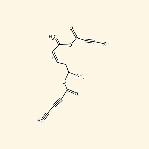 C#CC#CC(=O)OC(N)C/C=C\C(=C)OC(=O)C#CC